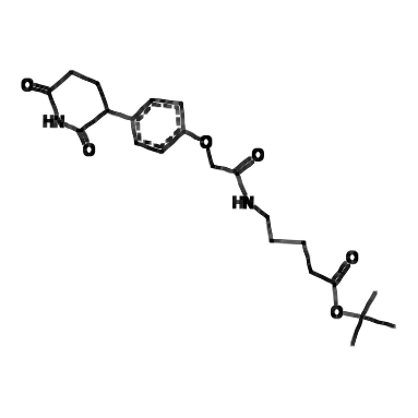 CC(C)(C)OC(=O)CCCCNC(=O)COc1ccc(C2CCC(=O)NC2=O)cc1